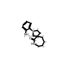 Nc1ccccc1N1CCC2(CCCCNC2=O)C1